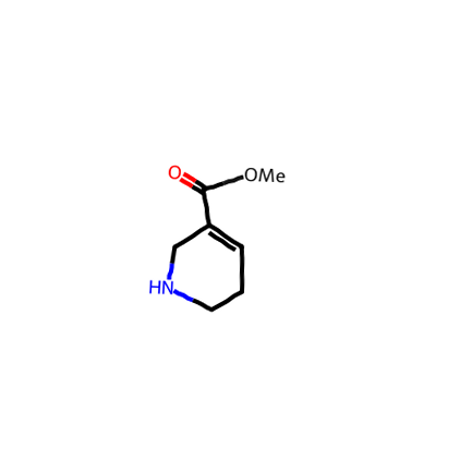 COC(=O)C1=CCCNC1